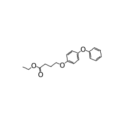 CCOC(=O)CCCOc1ccc(Oc2ccccc2)cc1